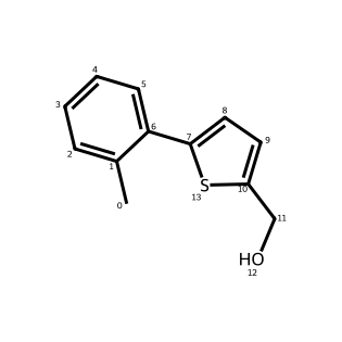 Cc1ccccc1-c1ccc(CO)s1